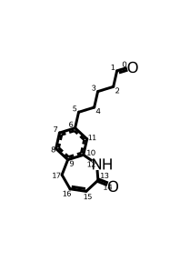 O=CCCCCc1ccc2c(c1)NC(=O)C=CC2